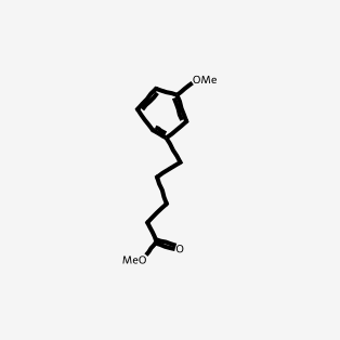 COC(=O)CCCCc1cccc(OC)c1